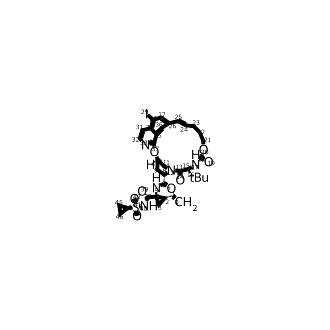 C=C[C@@H]1C[C@]1(NC(=O)[C@@H]1C[C@@H]2CN1C(=O)[C@H](C(C)(C)C)NC(=O)OCCC/C=C/c1cc(I)c3ccnc(c3c1)O2)C(=O)NS(=O)(=O)C1CC1